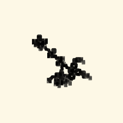 COc1ccc(C(OCCCN(CCCOP(OCCC#N)N(C(C)C)C(C)C)CC(=O)NCCNC(=O)CCCC[C@@H]2SC[C@@H]3NC(=O)N[C@@H]32)(c2ccccc2)c2ccc(OC)cc2)cc1